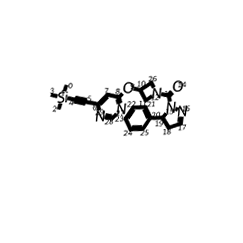 C[Si](C)(C)C#Cc1cc(OC2CN(C(=O)N3N=CCC3c3ccccc3)C2)ncn1